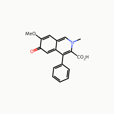 COc1cc2cn(C)c(C(=O)O)c(-c3ccccc3)c-2cc1=O